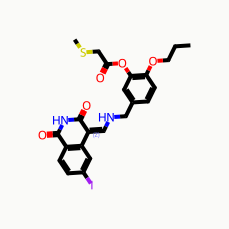 CCCOc1ccc(CN/C=C2\C(=O)NC(=O)c3ccc(I)cc32)cc1OC(=O)CSC